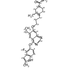 COc1cc2c(Oc3ccc4[nH]c(C)cc4c3F)ncnc2cc1OCCCN1CCN(C(N)=O)CC1C